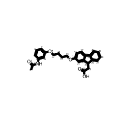 CC(=O)Nc1cccc(OCCCCOc2ccc3c(c2)C(CC(=O)O)c2ccccc2-3)c1